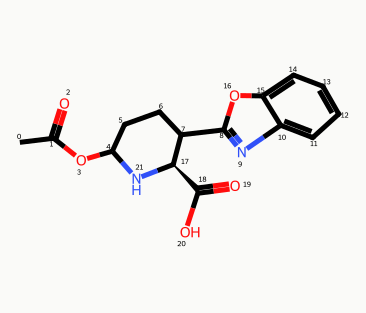 CC(=O)OC1CCC(c2nc3ccccc3o2)[C@@H](C(=O)O)N1